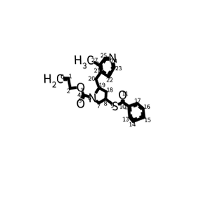 C=CCOC(=O)N1CC(SC(=O)c2ccccc2)CC1Cc1ccncc1C